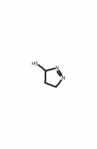 SC1CCN=N1